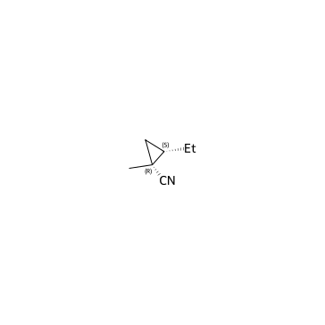 CC[C@H]1C[C@@]1(C)C#N